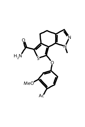 COc1cc(Oc2sc(C(N)=O)c3c2-c2c(cnn2C)CC3)ccc1C(C)=O